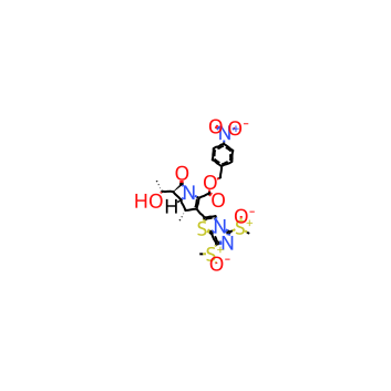 C[C@@H](O)[C@H]1C(=O)N2C(C(=O)OCc3ccc([N+](=O)[O-])cc3)=C(c3cn4c([S+](C)[O-])nc([S+](C)[O-])c4s3)[C@H](C)[C@H]12